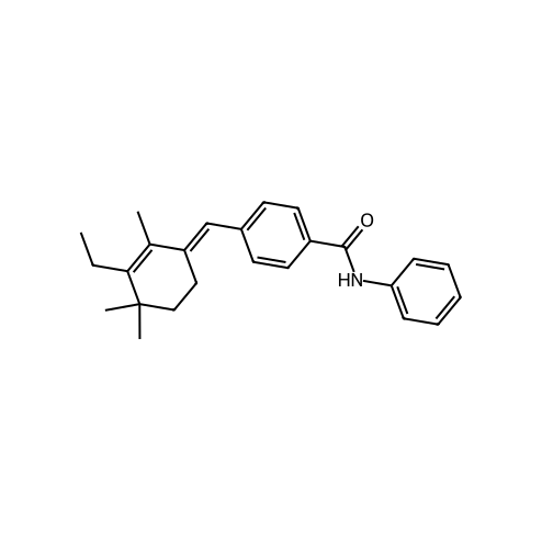 CCC1=C(C)/C(=C/c2ccc(C(=O)Nc3ccccc3)cc2)CCC1(C)C